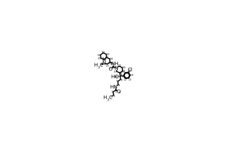 CCCC(=O)NCCC[C@@](O)(c1cccc(Cl)c1)C1CCCN(C(=O)NC(CNC)CC2CCCCC2)C1